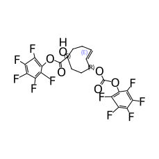 O=C(Oc1c(F)c(F)c(F)c(F)c1F)O[C@H]1/C=C/CC[C@@](O)(C(=O)Oc2c(F)c(F)c(F)c(F)c2F)CC1